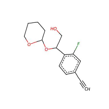 C#Cc1ccc(C(CO)OC2CCCCO2)c(F)c1